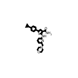 NC(=O)c1cc(-c2ccc(C3CC3)cc2)sc1Nc1cccc(CN2CCOCC2)n1